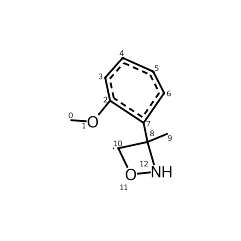 COc1ccccc1C1(C)[CH]ON1